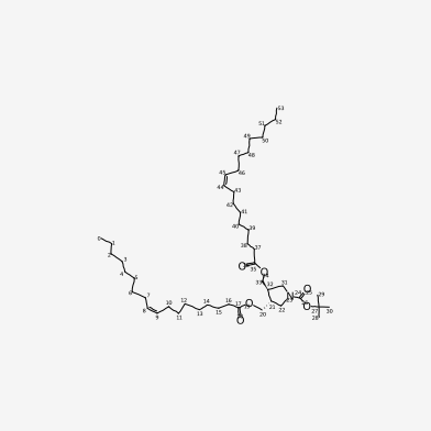 CCCCCCCC/C=C\CCCCCCCC(=O)OC[C@H]1CN(C(=O)OC(C)(C)C)C[C@@H]1COC(=O)CCCCCCC/C=C\CCCCCCCC